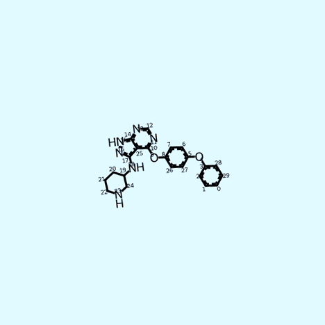 c1ccc(Oc2ccc(Oc3ncnc4[nH]nc(NC5CCCNC5)c34)cc2)cc1